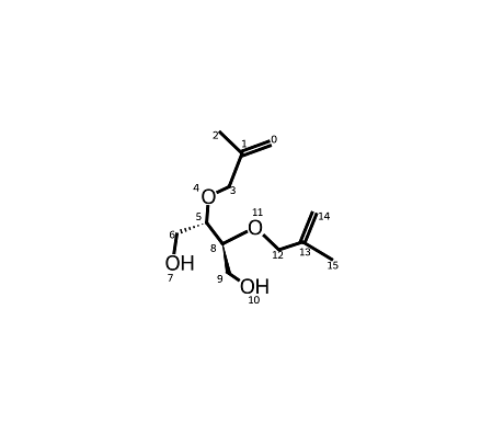 C=C(C)CO[C@@H](CO)[C@H](CO)OCC(=C)C